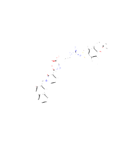 COc1cc2ccccc2cc1Cn1cccc(C(=O)N[C@@H](CCCNC(=N)NS(=O)(=O)c2c(C)c(C)c3c(c2C)CCC(C)(C)O3)C(=O)O)c1=O